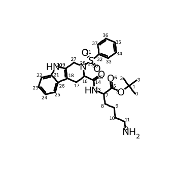 CC(C)(C)OC(=O)C(CCCCN)NC(=O)C1Cc2c([nH]c3ccccc23)CN1S(=O)(=O)c1ccccc1